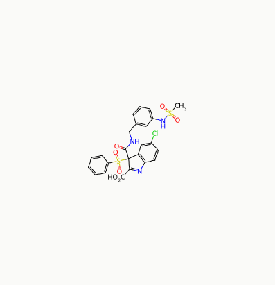 CS(=O)(=O)Nc1cccc(CNC(=O)C2(S(=O)(=O)c3ccccc3)C(C(=O)O)=Nc3ccc(Cl)cc32)c1